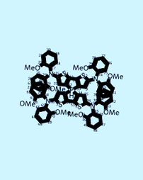 COc1ccccc1N(c1cc2c(s1)-c1sc(N(c3ccccc3OC)c3ccccc3OC)cc1[PH]21c2cc(N(c3ccccc3OC)c3ccccc3OC)sc2-c2sc(N(c3ccccc3OC)c3ccccc3OC)cc21)c1ccccc1OC